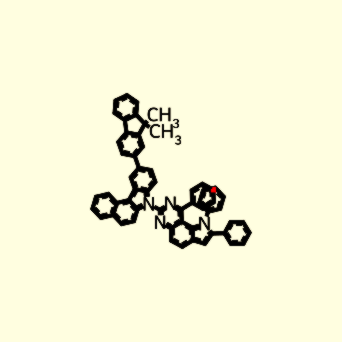 CC1(C)c2ccccc2-c2ccc(-c3ccc4c(c3)c3c5ccccc5ccc3n4-c3nc(-c4ccccc4)c4c(ccc5cc(-c6ccccc6)n(-c6ccccc6)c54)n3)cc21